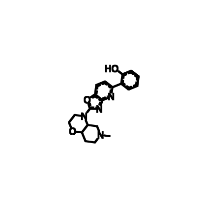 CN1CCC2OCCN(c3nc4nc(-c5ccccc5O)ccc4o3)C2C1